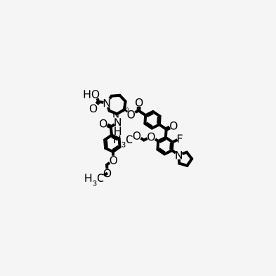 COCOc1ccc(C(=O)N[C@@H]2CN(C(=O)O)CCC[C@H]2OC(=O)c2ccc(C(=O)c3c(OCOC)ccc(N4CCCC4)c3F)cc2)cc1